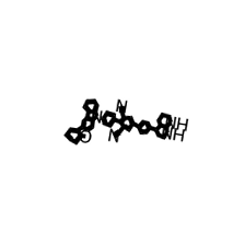 N#Cc1cc(-c2ccc(C3CCNC4NCCCC43)cc2)cc(C#N)c1-c1ccc(-n2c3ccccc3c3cc4c(cc32)oc2ccccc24)cc1